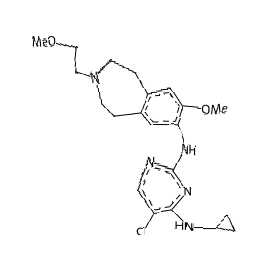 COCCN1CCc2cc(Nc3ncc(Cl)c(NC4CC4)n3)c(OC)cc2CC1